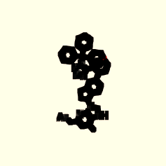 CC(=O)Cc1cc(C)c2c(n1)N(C1CCc3cc(-c4ccccc4-c4nnnn4C(c4ccccc4)(c4ccccc4)c4ccccc4)ccc31)CN2